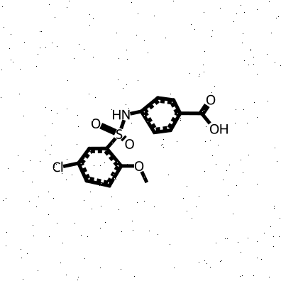 COc1ccc(Cl)cc1S(=O)(=O)Nc1ccc(C(=O)O)cc1